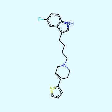 Fc1ccc2[nH]cc(CCCCN3CC=C(c4cccs4)CC3)c2c1